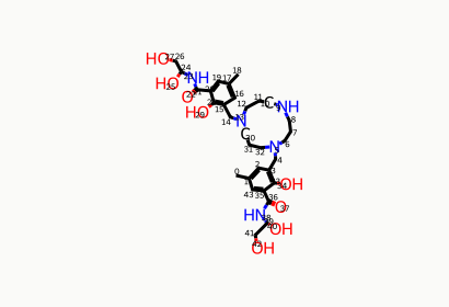 Cc1cc(CN2CCCNCCCN(Cc3cc(C)cc(C(=O)NC(O)CO)c3O)CCC2)c(O)c(C(=O)NC(O)CO)c1